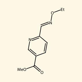 CCO/N=C/c1ccc(C(=O)OC)cn1